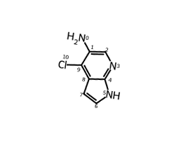 Nc1cnc2[nH]ccc2c1Cl